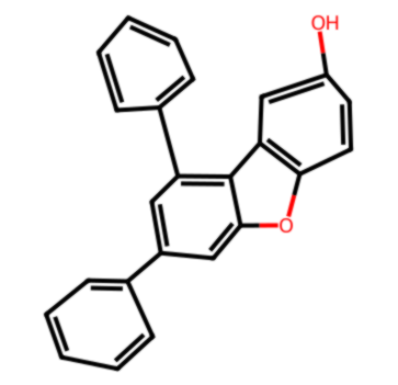 Oc1ccc2oc3cc(-c4ccccc4)cc(-c4ccccc4)c3c2c1